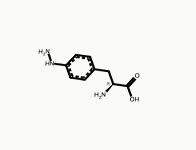 NNc1ccc(C[C@H](N)C(=O)O)cc1